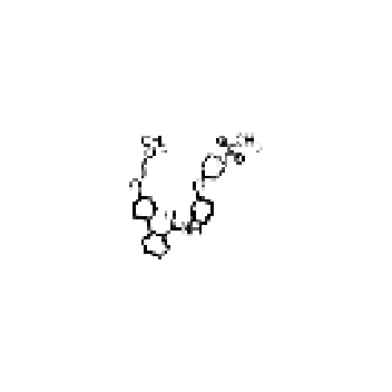 COCCOc1ccc(-c2ccccc2C(=O)Nc2cccc(OC3CCN(S(C)(=O)=O)CC3)c2)cc1